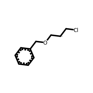 ClC[CH]COCc1ccccc1